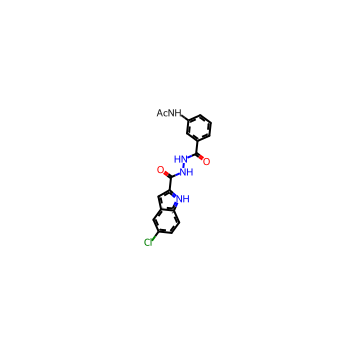 CC(=O)Nc1cccc(C(=O)NNC(=O)c2cc3cc(Cl)ccc3[nH]2)c1